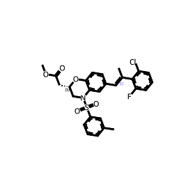 COC(=O)C[C@H]1CN(S(=O)(=O)c2cccc(C)c2)c2cc(/C=C(\C)c3c(F)cccc3Cl)ccc2O1